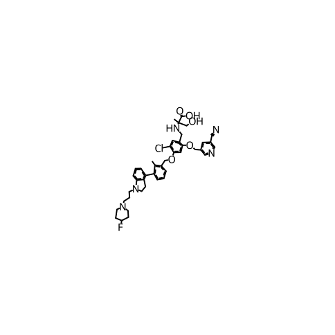 Cc1c(COc2cc(OCc3cncc(C#N)c3)c(CNC(C)(CO)C(=O)O)cc2Cl)cccc1-c1cccc2c1CCN2CCCN1CCC(F)CC1